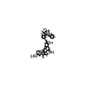 COC(=O)c1c(C)nc2ccc(C#C[C@@]3(O)CC[C@@]4(C)C(C[C@@H](O)C5C4C[C@H](O)[C@@]4(C)C5CC[C@@H]4C(C)CCC(=O)O)C3)cc2c1NCc1ccccc1